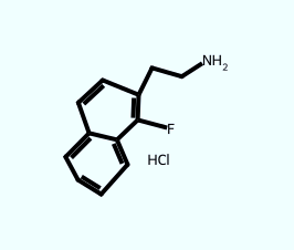 Cl.NCCc1ccc2ccccc2c1F